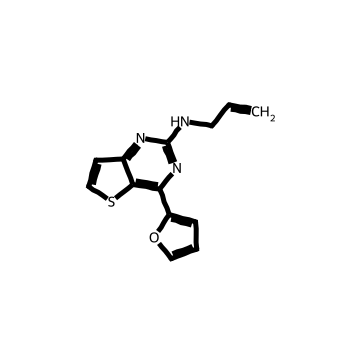 C=CCNc1nc(-c2ccco2)c2sccc2n1